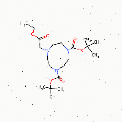 CCOC(=O)CN1CCN(C(=O)OC(C)(C)C)CCN(C(=O)OC(C)(C)C)CC1